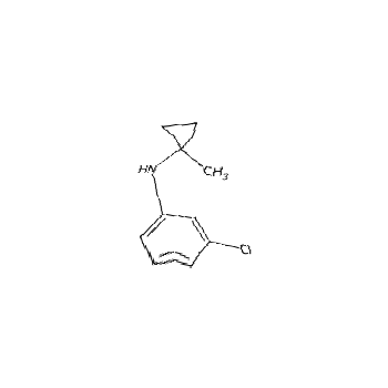 CC1(Nc2cccc(Cl)c2)CC1